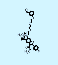 CNC(=O)c1c(-c2ccc(F)cc2)oc2cc(N(CCOCCOCCOc3cccc(C=O)c3)S(C)(=O)=O)c(C3CC3)cc12